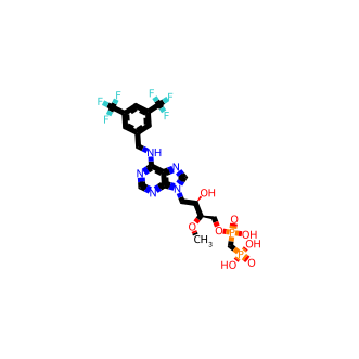 CO[C@H](COP(=O)(O)CP(=O)(O)O)[C@@H](O)Cn1cnc2c(NCc3cc(C(F)(F)F)cc(C(F)(F)F)c3)ncnc21